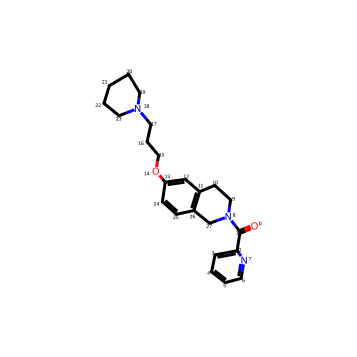 O=C(c1ccccn1)N1CCc2cc(OCCCN3CCCCC3)ccc2C1